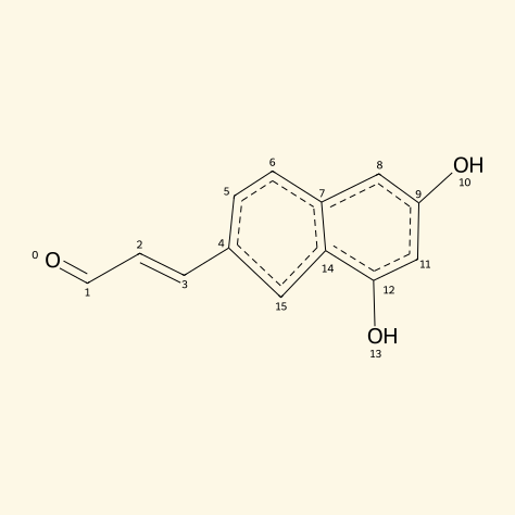 O=C/C=C/c1ccc2cc(O)cc(O)c2c1